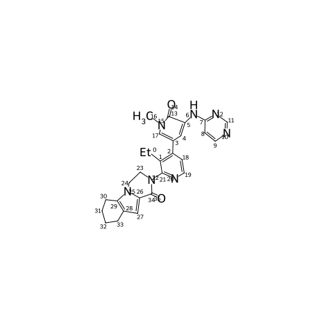 CCc1c(-c2cc(Nc3ccncn3)c(=O)n(C)c2)ccnc1N1CCn2c(cc3c2CCCC3)C1=O